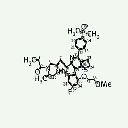 C=CC(=O)N1Cc2cc(-c3nc(-c4ccc(P(C)(C)=O)cc4)c4ccsc4c3-c3c(F)cc(F)cc3OCCOC)nn2CC1C